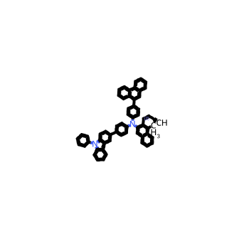 C#C/C=C\c1c(N(c2ccc(-c3ccc4c(c3)c3ccccc3n4-c3ccccc3)cc2)c2ccc(-c3cc4ccccc4c4ccccc34)cc2)cc2ccccc2c1C